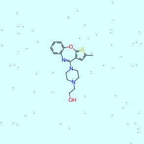 Cc1cc2c(s1)Oc1ccccc1N=C2N1CCN(CCO)CC1